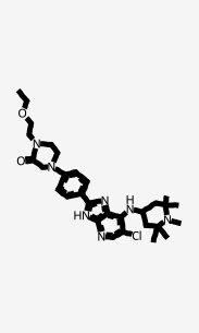 CCOCCN1CCN(c2ccc(-c3nc4c(NC5CC(C)(C)N(C)C(C)(C)C5)c(Cl)cnc4[nH]3)cc2)CC1=O